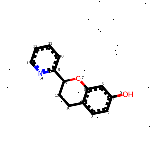 Oc1ccc2c(c1)OC(c1ccccn1)CC2